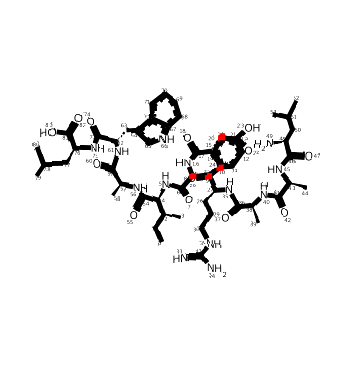 CC[C@H](C)[C@H](NC(=O)[C@H](Cc1ccccc1)NC(=O)[C@H](CC(=O)O)NC(=O)[C@H](CCCNC(=N)N)NC(=O)[C@H](C)NC(=O)[C@H](C)NC(=O)[C@@H](N)CC(C)C)C(=O)N[C@@H](C)C(=O)N[C@@H](Cc1c[nH]c2ccccc12)C(=O)N[C@@H](CC(C)C)C(=O)O